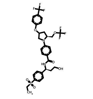 CCS(=O)(=O)c1ccc([C@H](CCO)NC(=O)c2ccc(N3CC(Oc4ccc(C(F)(F)F)cc4)C[C@H]3COC(F)(F)F)cc2)cc1